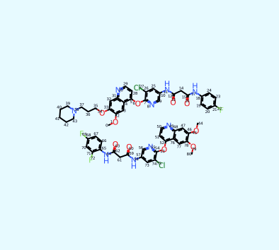 COc1cc2c(Oc3ncc(NC(=O)CC(=O)Nc4ccc(F)cc4)cc3Cl)ccnc2cc1OCCCN1CCCCC1.COc1cc2nccc(Oc3ncc(NC(=O)CC(=O)Nc4ccc(F)cc4F)cc3Cl)c2cc1OC